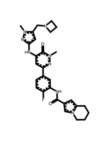 Cn1nc(Nc2cc(-c3ccc(F)c(NC(=O)c4cc5n(c4)CCCC5)c3)nn(C)c2=O)cc1CN1CCC1